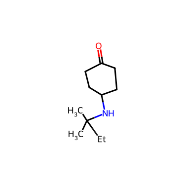 CCC(C)(C)NC1CCC(=O)CC1